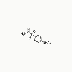 CC(=O)Nc1ccc(S(=O)(=O)NN)cc1